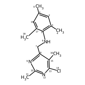 Cc1cc(C)c(NCc2nc(C)nc(Cl)c2C)c(C)c1